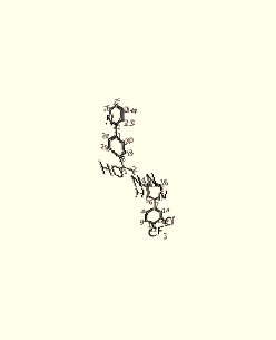 OC(CNc1cc(-c2ccc(C(F)(F)F)c(Cl)c2)ncn1)c1ccc(-c2ccccn2)cc1